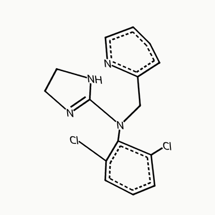 Clc1cccc(Cl)c1N(Cc1ccccn1)C1=NCCN1